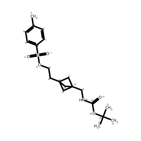 Cc1ccc(S(=O)(=O)OCCC23CC(CNC(=O)OC(C)(C)C)(C2)C3)cc1